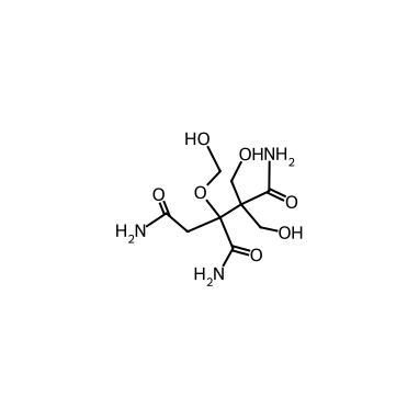 NC(=O)CC(OCO)(C(N)=O)C(CO)(CO)C(N)=O